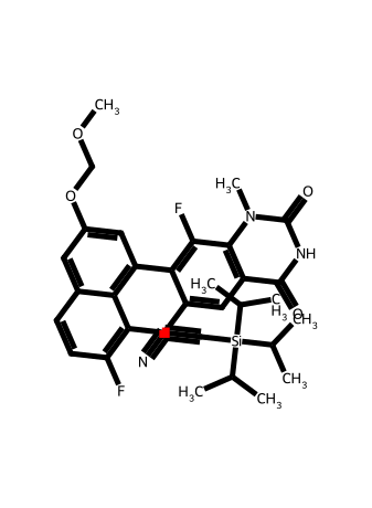 COCOc1cc(-c2c(C#N)cc3c(=O)[nH]c(=O)n(C)c3c2F)c2c(C#C[Si](C(C)C)(C(C)C)C(C)C)c(F)ccc2c1